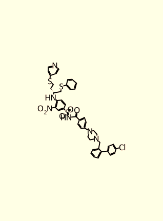 O=C(NS(=O)(=O)c1ccc(N[C@H](CCSc2ccncc2)CSc2ccccc2)c([N+](=O)[O-])c1)c1ccc(N2CCN(Cc3ccccc3-c3ccc(Cl)cc3)CC2)cc1